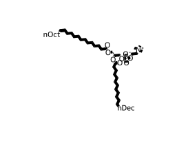 CCCCCCCC/C=C\CCCCCCCCCCCC(=O)OC[C@H](COP(=O)([O-])OCC[N+](C)(C)C)OC(=O)CCCCCCCCCCCCCCCCCCCCC